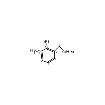 CCCCCCCc1[c]ccc(C)c1CC